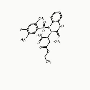 CCOC(=O)[C@@H](C)C(C(N)=O)[C@@H]1C(=O)Nc2ccccc2N1S(=O)(=O)c1cc(C)c(F)cc1C